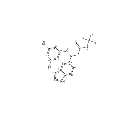 CC(C)(C)OC(=O)CN(Sc1cc(Cl)cc(Cl)c1)c1ccc2[nH]ccc2c1